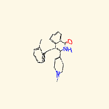 Cc1ccccc1-c1c(C2CCN(C)CC2)[nH]c(=O)c2ccccc12